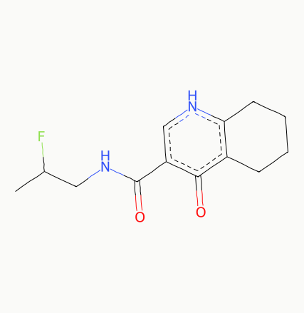 CC(F)CNC(=O)c1c[nH]c2c(c1=O)CCCC2